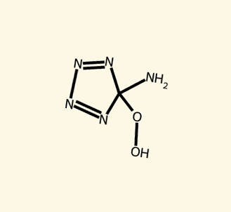 NC1(OO)N=NN=N1